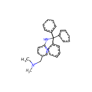 CN(C)Cc1ccc(NC(c2ccccc2)(c2ccccc2)c2ccccc2)nc1